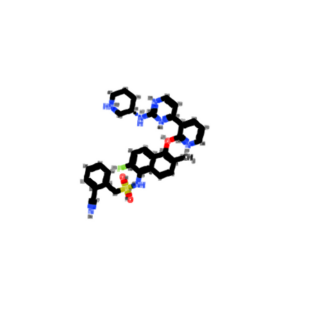 Cc1ccc2c(NS(=O)(=O)Cc3ccccc3C#N)c(F)ccc2c1Oc1ncccc1-c1ccnc(N[C@H]2CCCNC2)n1